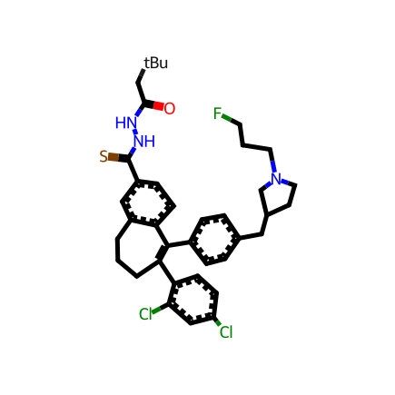 CC(C)(C)CC(=O)NNC(=S)c1ccc2c(c1)CCCC(c1ccc(Cl)cc1Cl)=C2c1ccc(CC2CCN(CCCF)C2)cc1